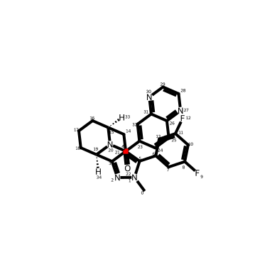 Cn1nc2c(c1-c1cc(F)cc(F)c1)C[C@@H]1CCC[C@H]2N1C(=O)c1ccc2nccnc2c1